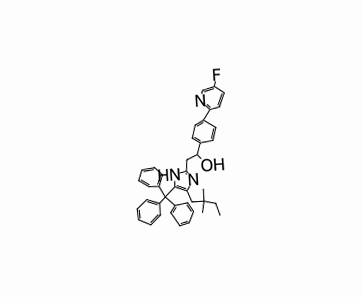 CCC(C)(C)Cc1nc(CC(O)c2ccc(-c3ccc(F)cn3)cc2)[nH]c1C(c1ccccc1)(c1ccccc1)c1ccccc1